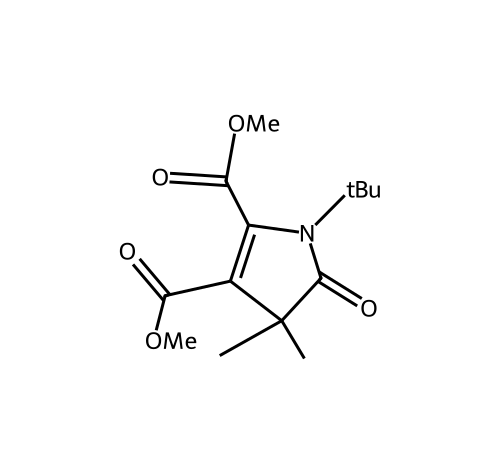 COC(=O)C1=C(C(=O)OC)C(C)(C)C(=O)N1C(C)(C)C